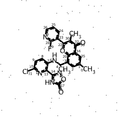 Cc1cc([C@@H](C)Nc2ccc(Cl)nc2-c2noc(=O)[nH]2)c2oc(-c3cccnc3F)c(C)c(=O)c2c1